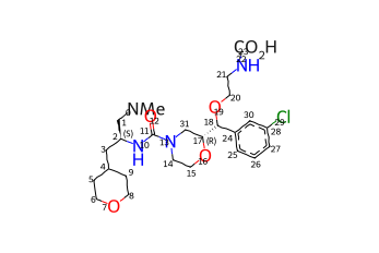 CNC[C@H](CC1CCOCC1)NC(=O)N1CCO[C@@H](C(OCCNC(=O)O)c2cccc(Cl)c2)C1